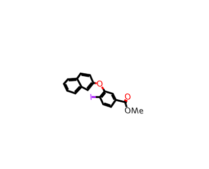 COC(=O)c1ccc(I)c(Oc2ccc3ccccc3c2)c1